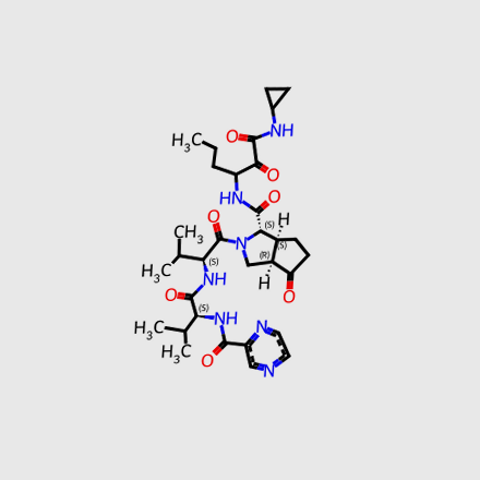 CCCC(NC(=O)[C@@H]1[C@H]2CCC(=O)[C@H]2CN1C(=O)[C@@H](NC(=O)[C@@H](NC(=O)c1cnccn1)C(C)C)C(C)C)C(=O)C(=O)NC1CC1